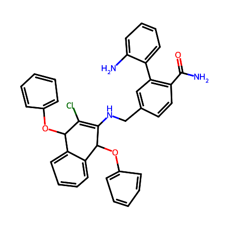 NC(=O)c1ccc(CNC2=C(Cl)C(Oc3ccccc3)c3ccccc3C2Oc2ccccc2)cc1-c1ccccc1N